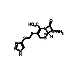 N[C@@H]1C(=O)N2C(C(=O)O)=C(SCSc3c[nH]nn3)CS[C@H]12